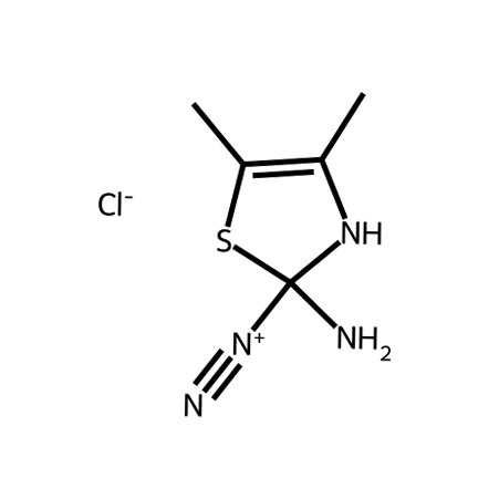 CC1=C(C)SC(N)([N+]#N)N1.[Cl-]